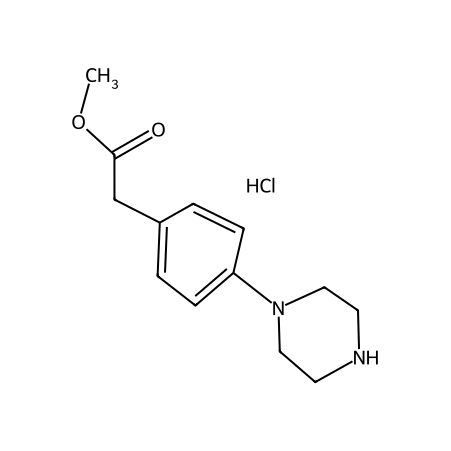 COC(=O)Cc1ccc(N2CCNCC2)cc1.Cl